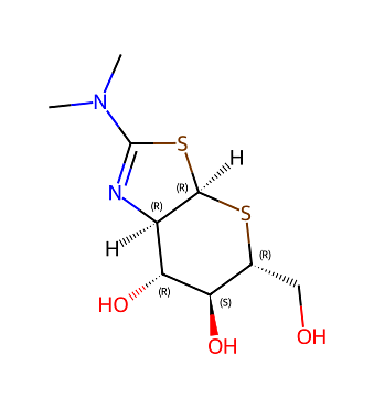 CN(C)C1=N[C@H]2[C@@H](S1)S[C@H](CO)[C@@H](O)[C@@H]2O